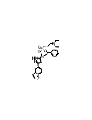 CCN(CC)CCCS(=O)(=O)N[C@H](CCc1ccccc1)c1nc(-c2ccc3occc3c2)n[nH]1